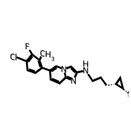 Cc1c(-c2ccc3nc(NCCC[C@@H]4C[C@@H]4F)cn3c2)ccc(Cl)c1F